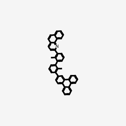 Cc1c(-c2ccc3c4ccccc4c4ccccc4c3c2)cccc1-c1cccc(-c2ccc3ccc4ccccc4c3n2)c1C